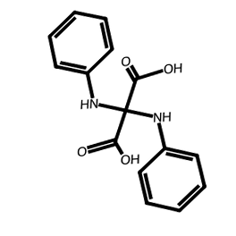 O=C(O)C(Nc1ccccc1)(Nc1ccccc1)C(=O)O